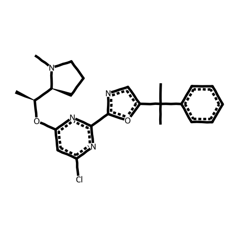 C[C@H](Oc1cc(Cl)nc(-c2ncc(C(C)(C)c3ccccc3)o2)n1)[C@@H]1CCCN1C